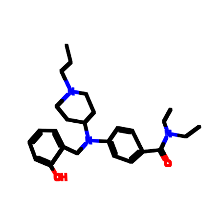 CCCN1CCC(N(Cc2ccccc2O)c2ccc(C(=O)N(CC)CC)cc2)CC1